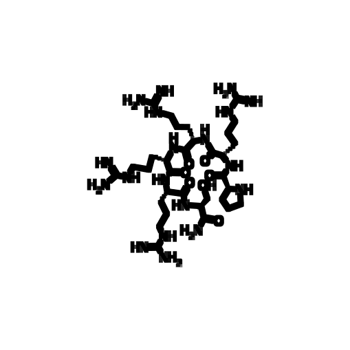 N=C(N)NCCC[C@H](NC(=O)[C@H](CCCNC(=N)N)NC(=O)[C@H](CCCNC(=N)N)NC(=O)[C@H](CCCNC(=N)N)NC(=O)[C@@H]1CCCN1)C(=O)N[C@@H](CO)C(N)=O